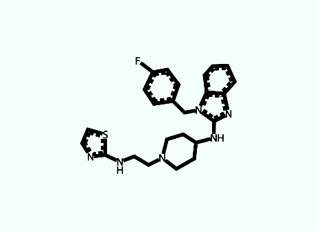 Fc1ccc(Cn2c(NC3CCN(CCNc4nccs4)CC3)nc3ccccc32)cc1